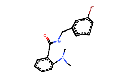 CN(C)c1ccccc1C(=O)NCc1cccc(Br)c1